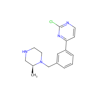 C[C@H]1CNCCN1Cc1cccc(-c2ccnc(Cl)n2)c1